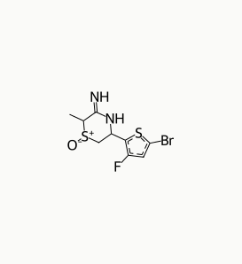 CC1C(=N)NC(c2sc(Br)cc2F)C[S+]1[O-]